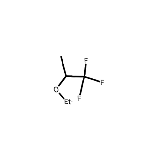 C[CH]OC(C)C(F)(F)F